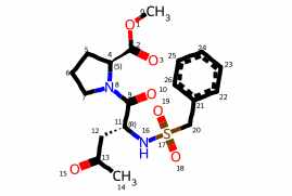 COC(=O)[C@@H]1CCCN1C(=O)[C@@H](CC(C)=O)NS(=O)(=O)Cc1ccccc1